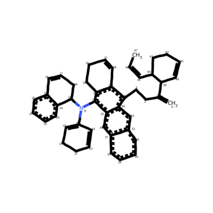 C=C(CCc1c2c(c(N(C3=CCCC=C3)C3CC=Cc4ccccc43)c3cc4ccccc4cc13)CCC=C2)C1C=CCCC1/C=C\C